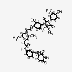 CCc1cc(N2C(=S)N(c3ccc(C#N)c(C(F)(F)F)c3)C(=O)C2(C)C)ccc1OCCN1C[C@H](C)N(CC(=O)Nc2cccc(NC3CCC(=O)NC3=O)c2)C[C@@H]1C